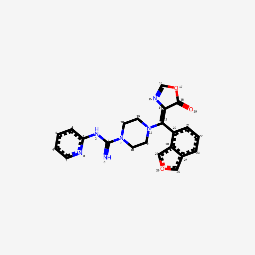 N=C(Nc1ccccn1)N1CCN(C(=C2N=COC2=O)c2cccc3cocc23)CC1